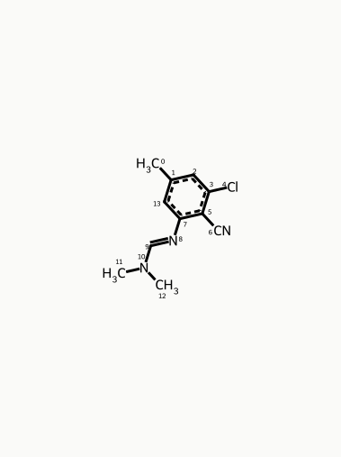 Cc1cc(Cl)c(C#N)c(/N=C/N(C)C)c1